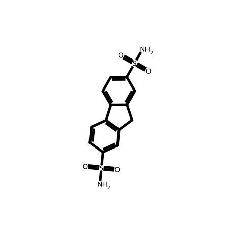 NS(=O)(=O)c1ccc2c(c1)Cc1cc(S(N)(=O)=O)ccc1-2